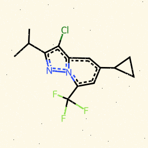 CC(C)c1nn2c(C(F)(F)F)cc(C3CC3)cc2c1Cl